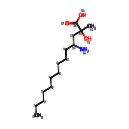 CCCCCCCCCCC(N)CC(C)(O)C(=O)O